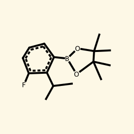 CC(C)c1c(F)cccc1B1OC(C)(C)C(C)(C)O1